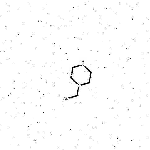 CC(=O)[CH]N1CCNCC1